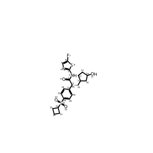 O=C(Nc1ncc(F)s1)[C@H](CC1CCC(O)C1)c1ccc(S(=O)(=O)C2CCC2)cc1